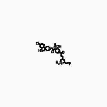 C=CC(/C=C/C(=O)N1CC[C@@](O)(C(=O)CN2CCC3(CC2)CNC2C=C(Cl)C=CC23)[C@@H](O)C1)=C\C(F)=C/CF